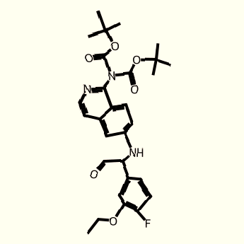 CCOc1cc(C(C=O)Nc2ccc3c(N(C(=O)OC(C)(C)C)C(=O)OC(C)(C)C)nccc3c2)ccc1F